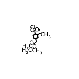 CCc1cc(CC(=O)OC(C)(C)C)ccc1C(=O)OC